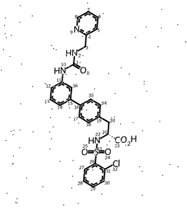 O=C(NCc1ccccn1)Nc1cccc(-c2ccc(C[C@@H](NS(=O)(=O)c3ccccc3Cl)C(=O)O)cc2)c1